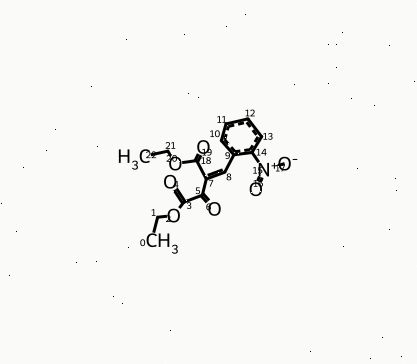 CCOC(=O)C(=O)C(=Cc1ccccc1[N+](=O)[O-])C(=O)OCC